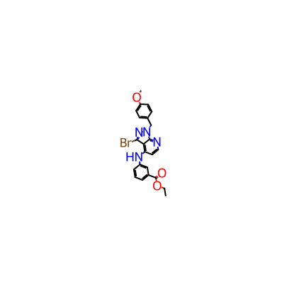 CCOC(=O)c1cccc(Nc2ccnc3c2c(Br)nn3Cc2ccc(OC)cc2)c1